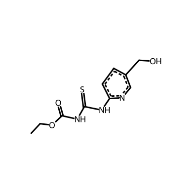 CCOC(=O)NC(=S)Nc1ccc(CO)cn1